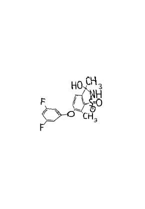 Cc1c(Oc2cc(F)cc(F)c2)ccc2c1S(=O)(=O)NC2(C)O